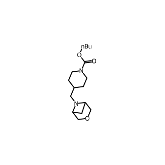 CCCCOC(=O)N1CCC(CN2C3COCC2C3)CC1